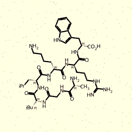 CC[C@@H](C)[C@@H](NC(=O)CNC(=O)[C@@H](C)N)C(=O)N[C@H](CC(C)C)C(=O)N[C@H](CCCCN)C(=O)N[C@H](CCCNC(=N)N)C(=O)N[C@H](Cc1c[nH]c2ccccc12)C(=O)O